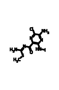 CS/C(N)=N\C(=O)c1nc(Cl)c(N)nc1NI